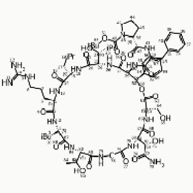 CC[C@H](C)[C@@H]1NC(=O)[C@@H](CCCNC(=N)N)NC(=O)[C@H](CC(C)C)NC(=O)[C@H]([C@H](O)C(C)C)NC(=O)[C@@H](NC(=O)[C@H](Cc2ccccc2)NC(=O)[C@H]2CCCN2C(=O)OC(C)(C)C)[C@@H](c2ccccc2)OC(=O)[C@H](CO)NC(=O)[C@H]([C@H](O)C(N)=O)NC(=O)CNC(=O)[C@H]([C@H](C)O)NC1=O